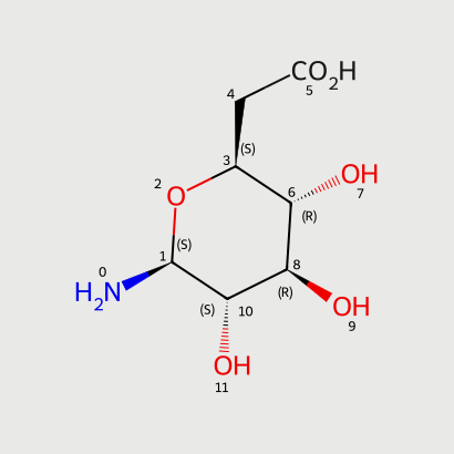 N[C@H]1O[C@@H](CC(=O)O)[C@H](O)[C@@H](O)[C@@H]1O